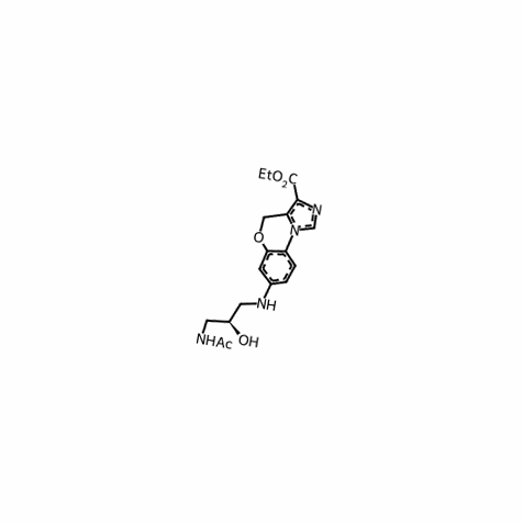 CCOC(=O)c1ncn2c1COc1cc(NC[C@@H](O)CNC(C)=O)ccc1-2